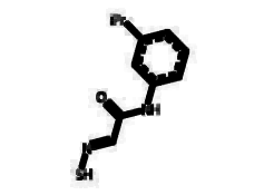 CC(C)c1cccc(NC(=O)C=NS)c1